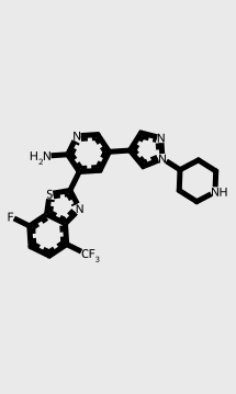 Nc1ncc(-c2cnn(C3CCNCC3)c2)cc1-c1nc2c(C(F)(F)F)ccc(F)c2s1